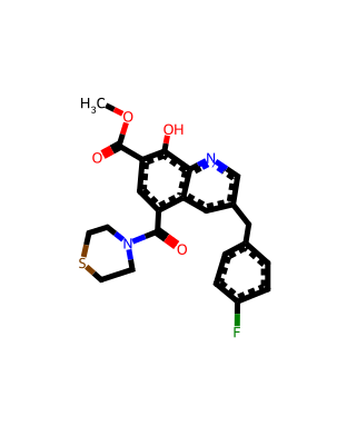 COC(=O)c1cc(C(=O)N2CCSCC2)c2cc(Cc3ccc(F)cc3)cnc2c1O